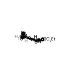 CCOC(=O)[C@H]1CC[C@H](c2ccc(C(=O)NCCOCCOCCNC(=O)[C@H]3CC(=O)N(C)[C@@H]3c3cccnc3)cn2)CC1